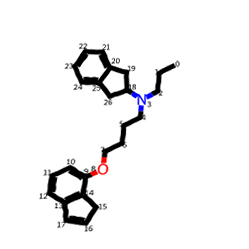 CCCN(CCCCOc1cccc2c1CC=C2)C1Cc2ccccc2C1